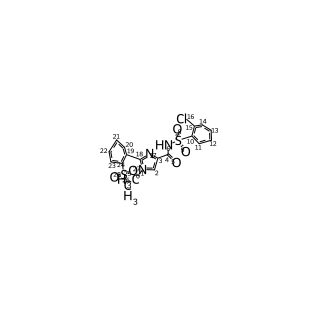 Cn1cc(C(=O)NS(=O)(=O)c2ccccc2Cl)nc1-c1ccccc1S(C)(=O)=O